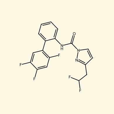 O=C(Nc1ccccc1-c1cc(F)c(F)cc1F)n1c[c]c(CC(F)F)n1